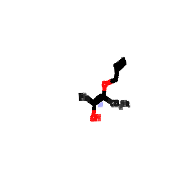 C=CCO/C(C(=O)OCC)=C(/O)CC